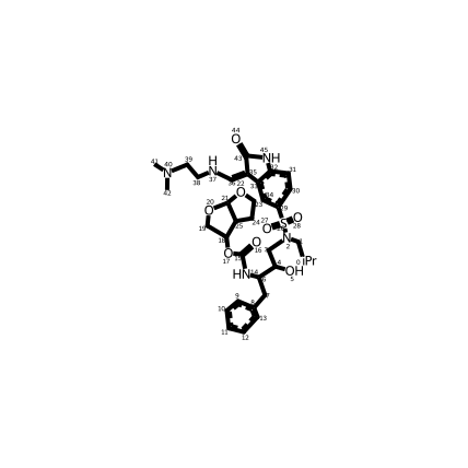 CC(C)CN(CC(O)C(Cc1ccccc1)NC(=O)OC1COC2OCCC12)S(=O)(=O)c1ccc2c(c1)C(=CNCCN(C)C)C(=O)N2